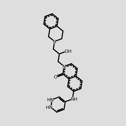 O=c1c2cc(NC3=CNNC=C3)ccc2ccn1CC(O)CN1CCc2ccccc2C1